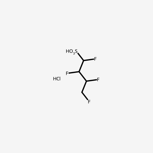 Cl.O=S(=O)(O)C(F)C(F)C(F)CF